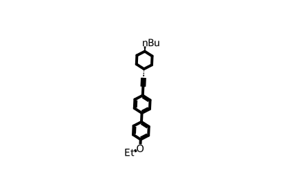 CCCC[C@H]1CC[C@H](C#Cc2ccc(-c3ccc(OCC)cc3)cc2)CC1